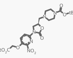 CCOC(=O)COc1ccc(N2C[C@@H](CN3CCN(C(=O)OC(C)(C)C)CC3)OC2=O)nc1[N+](=O)[O-]